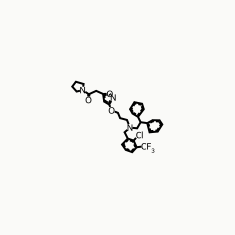 O=C(Cc1cc(OCCCN(Cc2cccc(C(F)(F)F)c2Cl)CC(c2ccccc2)c2ccccc2)no1)N1CCCC1